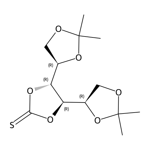 CC1(C)OC[C@H]([C@H]2OC(=S)O[C@@H]2[C@H]2COC(C)(C)O2)O1